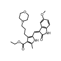 CCOC(=O)c1c(C)[nH]c(C=C2C(=O)Nc3ccc(OC)cc32)c1CCCN1CCOCC1